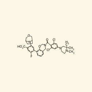 CN1CCN(c2cc(Cl)c(C(=O)N3COc4c(cccc4-c4cc(N5C6CCC5COC6)c(C(=O)O)cc4F)C3)c(Cl)c2)CC1(C)C